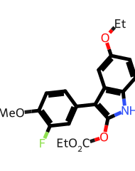 CCOC(=O)Oc1[nH]c2ccc(OCC)cc2c1-c1ccc(OC)c(F)c1